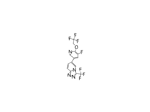 Fc1cc(-c2ccc3nnc(C(F)(F)F)n3c2)cnc1OCC(F)(F)F